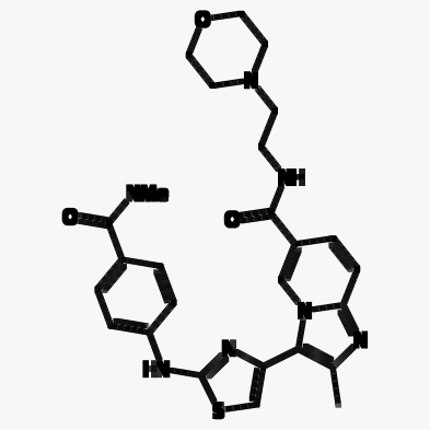 CNC(=O)c1ccc(Nc2nc(-c3c(C)nc4ccc(C(=O)NCCN5CCOCC5)cn34)cs2)cc1